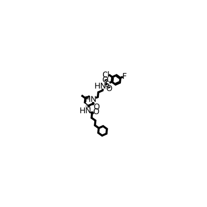 CC(C)C[C@H](NC(=O)CCCC1CCCCC1)C(=O)NCCCNS(=O)(=O)c1ccc(F)cc1Cl